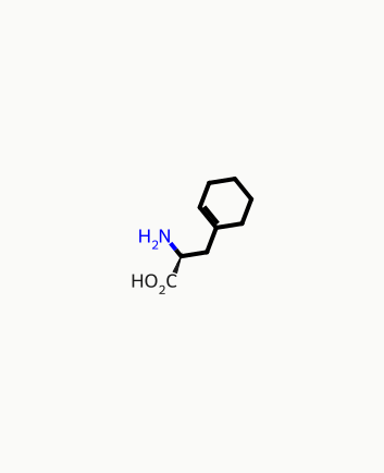 N[C@@H](CC1=CCCCC1)C(=O)O